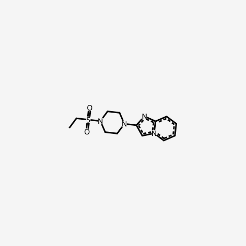 CCS(=O)(=O)N1CCN(c2cn3ccccc3n2)CC1